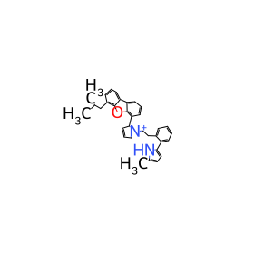 Cc1ccc(-c2ccccc2CC[N+]2=CC=CC2c2cccc3c2oc2c(CC(C)C)cccc23)[nH]1